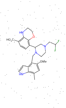 COc1cc(C)c2[nH]ccc2c1CN1CCN(CC(F)F)CC1c1ccc(C(=O)O)c2c1OCCN2